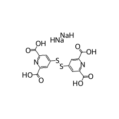 O=C(O)c1cc(SSc2cc(C(=O)O)nc(C(=O)O)c2)cc(C(=O)O)n1.[NaH].[NaH]